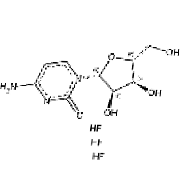 F.F.F.Nc1ccn([C@@H]2O[C@H](CO)[C@@H](O)[C@H]2O)c(=O)n1